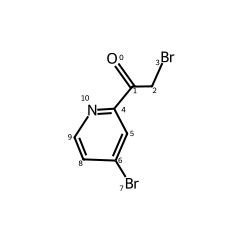 O=C(CBr)c1cc(Br)ccn1